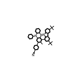 Cc1c(-c2ccc(C#N)cc2)cc2c3c1-c1cc(C(C)(C)C)cc4c5cc(C(C)(C)C)ccc5n(c14)B3c1ccccc1N2c1ccccc1